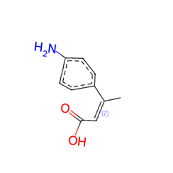 C/C(=C/C(=O)O)c1ccc(N)cc1